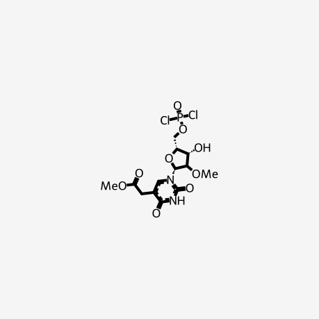 COC(=O)Cc1cn([C@@H]2O[C@H](COP(=O)(Cl)Cl)[C@H](O)C2OC)c(=O)[nH]c1=O